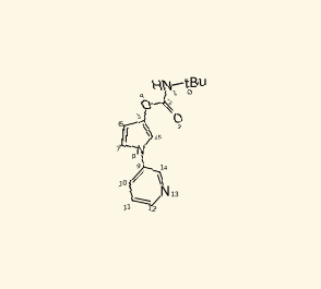 CC(C)(C)NC(=O)Oc1ccn(-c2cccnc2)c1